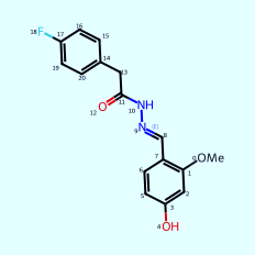 COc1cc(O)ccc1/C=N/NC(=O)Cc1ccc(F)cc1